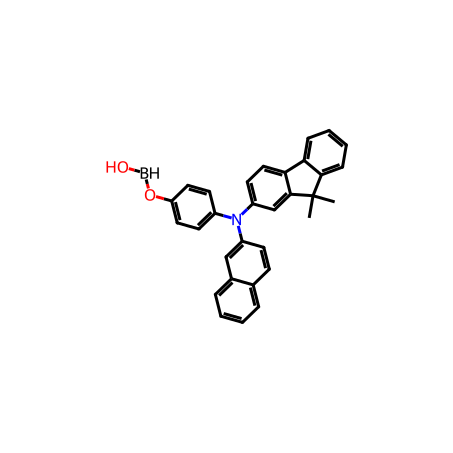 CC1(C)c2ccccc2-c2ccc(N(c3ccc(OBO)cc3)c3ccc4ccccc4c3)cc21